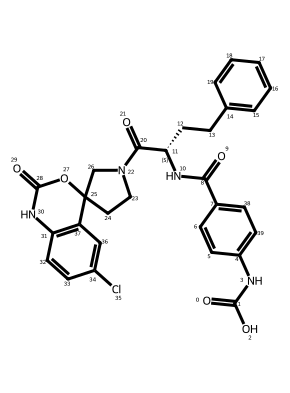 O=C(O)Nc1ccc(C(=O)N[C@@H](CCc2ccccc2)C(=O)N2CCC3(C2)OC(=O)Nc2ccc(Cl)cc23)cc1